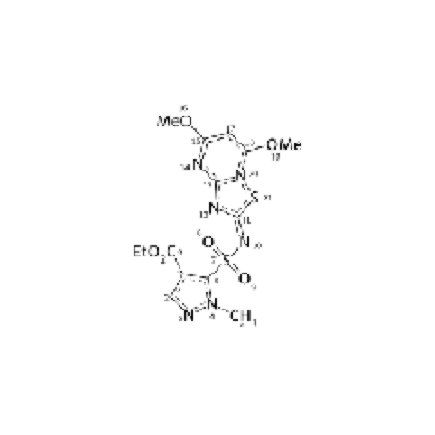 CCOC(=O)c1cnn(C)c1S(=O)(=O)N=c1nc2nc(OC)cc(OC)n2s1